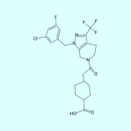 O=C(O)C1CCC(CC(=O)N2CCc3c(C(F)(F)F)nn(Cc4cc(F)cc(Cl)c4)c3C2)CC1